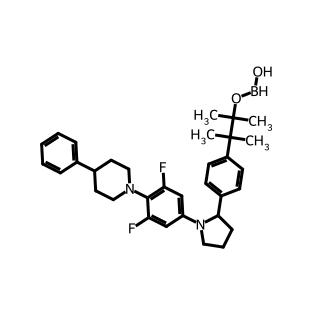 CC(C)(OBO)C(C)(C)c1ccc(C2CCCN2c2cc(F)c(N3CCC(c4ccccc4)CC3)c(F)c2)cc1